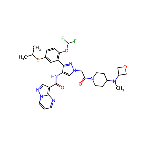 CC(C)Sc1ccc(OC(F)F)c(-c2nn(CC(=O)N3CCC(N(C)C4COC4)CC3)cc2NC(=O)c2cnn3cccnc23)c1